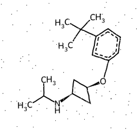 CC(C)N[C@H]1C[C@@H](Oc2cccc(C(C)(C)C)c2)C1